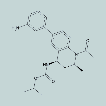 CC(=O)N1c2ccc(-c3cccc(N)c3)cc2[C@H](NC(=O)OC(C)C)C[C@@H]1C